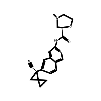 CN1CCO[C@@H](C(=O)Nc2cc3cc([C@]4(C#N)CC45CC5)ccc3cn2)C1